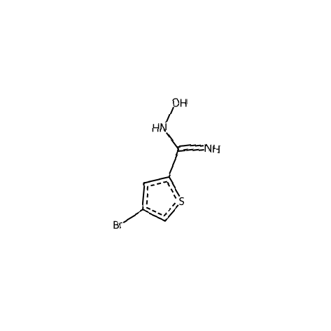 N=C(NO)c1cc(Br)cs1